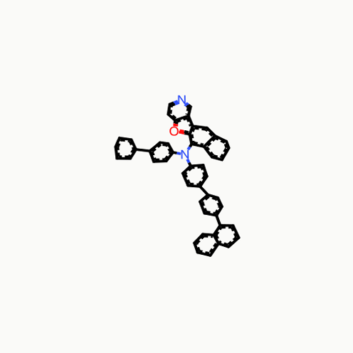 c1ccc(-c2ccc(N(c3ccc(-c4ccc(-c5cccc6ccccc56)cc4)cc3)c3c4ccccc4cc4c3oc3ccncc34)cc2)cc1